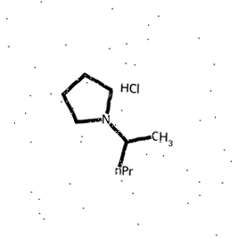 CCCC(C)N1CCCC1.Cl